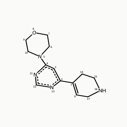 C1=C(c2cc(N3CCOCC3)ncn2)CCNC1